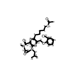 CC(=O)OCCCCCc1nc2c(nc1COc1ccccc1Cl)N(CC(C)C)C1OC1N(C)C2=O